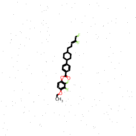 CCOc1ccc(OC(=O)c2ccc(C3CCC(CCC=C(F)CF)CC3)cc2)c(F)c1F